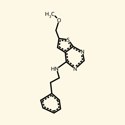 COCc1cc2c(NCCc3ccccc3)ncnc2s1